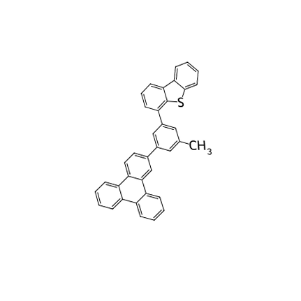 Cc1cc(-c2ccc3c4ccccc4c4ccccc4c3c2)cc(-c2cccc3c2sc2ccccc23)c1